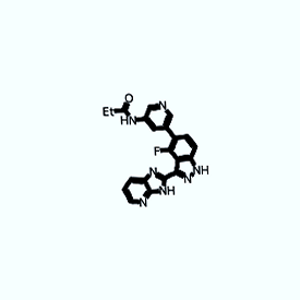 CCC(=O)Nc1cncc(-c2ccc3[nH]nc(-c4nc5cccnc5[nH]4)c3c2F)c1